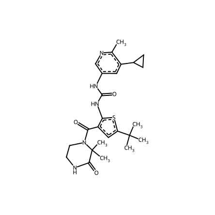 Cc1ncc(NC(=O)Nc2sc(C(C)(C)C)cc2C(=O)N2CCNC(=O)C2(C)C)cc1C1CC1